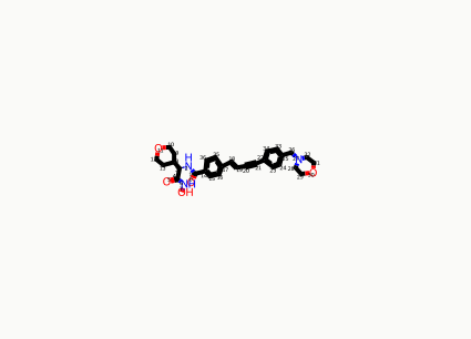 O=C(N[C@H](C(=O)NO)C1CCOCC1)c1ccc(/C=C/C#Cc2ccc(CN3CCOCC3)cc2)cc1